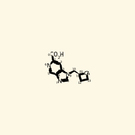 O=C(O)c1cc2c(cn1)ncn2C[C@@H]1CCO1